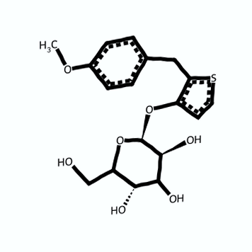 COc1ccc(Cc2sccc2O[C@@H]2OC(CO)[C@@H](O)C(O)[C@@H]2O)cc1